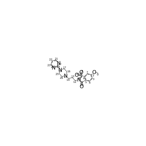 COc1ccc2c(c1)S(=O)(=O)N(CCCN1CCN(c3ncccn3)CC1)C2=O